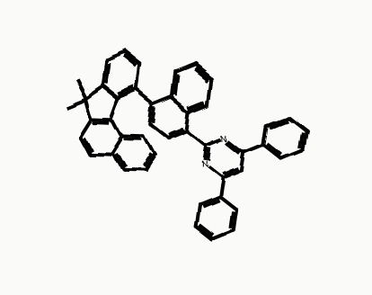 CC1(C)c2cccc(-c3ccc(-c4nc(-c5ccccc5)cc(-c5ccccc5)n4)c4ccccc34)c2-c2c1ccc1ccccc21